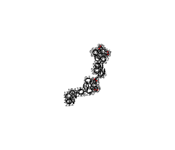 c1ccc2c(c1)Oc1c(-c3ccc(-c4ccc5ccc6cccnc6c5n4)cc3)cccc1C21c2ccccc2-c2cc(-c3ccnc4c3ccc3ccc(-c5cccc6c5Oc5ccccc5C65c6ccccc6-c6ccccc65)nc34)ccc21